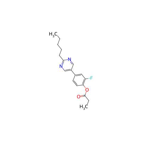 CCCCCc1ncc(-c2ccc(OC(=O)CC)c(F)c2)cn1